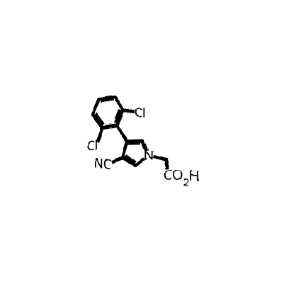 N#Cc1cn(CC(=O)O)cc1-c1c(Cl)cccc1Cl